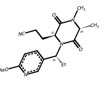 CC[C@H](c1ccc(OC)nc1)N1C(=O)[C@@H](C)N(C)C(=O)[C@@H]1CCC#N